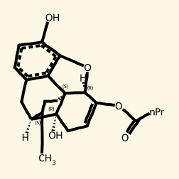 CCCC(=O)OC1=CC[C@@]2(O)[C@H]3Cc4ccc(O)c5c4[C@@]2(CCC3C)[C@H]1O5